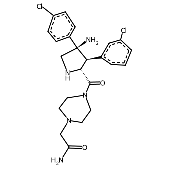 NC(=O)CN1CCN(C(=O)[C@@H]2NC[C@](N)(c3ccc(Cl)cc3)[C@H]2c2cccc(Cl)c2)CC1